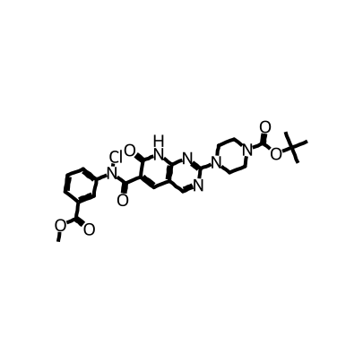 COC(=O)c1cccc(N(Cl)C(=O)c2cc3cnc(N4CCN(C(=O)OC(C)(C)C)CC4)nc3[nH]c2=O)c1